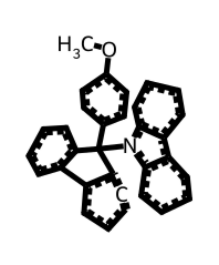 COc1ccc(C2(n3c4ccccc4c4ccccc43)c3ccccc3-c3ccccc32)cc1